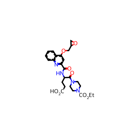 CCOC(=O)N1CCN(C(=O)C(CCC(=O)O)NC(=O)c2cc(OCC3CO3)c3ccccc3n2)CC1